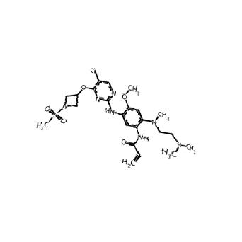 C=CC(=O)Nc1cc(Nc2ncc(Cl)c(OC3CN(S(C)(=O)=O)C3)n2)c(OC)cc1N(C)CCN(C)C